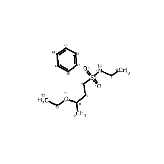 CCNS(=O)(=O)CCC(C)OCC.c1ccccc1